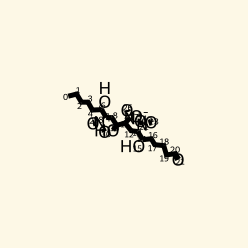 CCCCCC(O)C(CC(O)C(CC(C(O)CCCC[C]=O)[N+](=O)[O-])[N+](=O)[O-])[N+](=O)[O-]